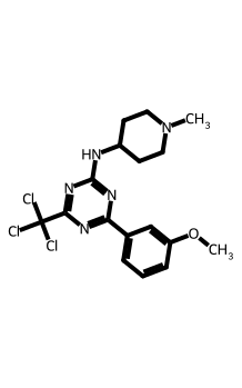 COc1cccc(-c2nc(NC3CCN(C)CC3)nc(C(Cl)(Cl)Cl)n2)c1